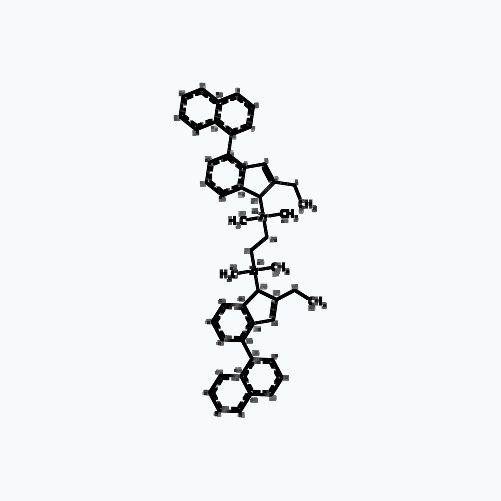 CCC1=Cc2c(-c3cccc4ccccc34)cccc2[CH]1[Zr]([CH3])([CH3])[CH2][CH2][Zr]([CH3])([CH3])[CH]1C(CC)=Cc2c(-c3cccc4ccccc34)cccc21